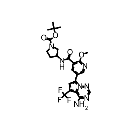 COc1ncc(-c2cc(C(F)(F)F)c3c(N)ncnn23)cc1C(=O)NC1CCN(C(=O)OC(C)(C)C)C1